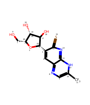 OC[C@H]1O[C@@H](c2cc3ncc(C(F)(F)F)[nH]c-3nc2=S)C(O)[C@H]1O